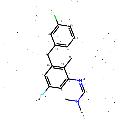 CCN(C)/C=N\c1cc(F)cc(Cc2cccc(Cl)c2)c1C